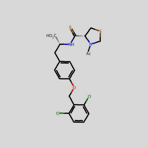 CC(=O)N1CSC[C@H]1C(=S)N[C@H](Cc1ccc(OCc2c(Cl)cccc2Cl)cc1)C(=O)O